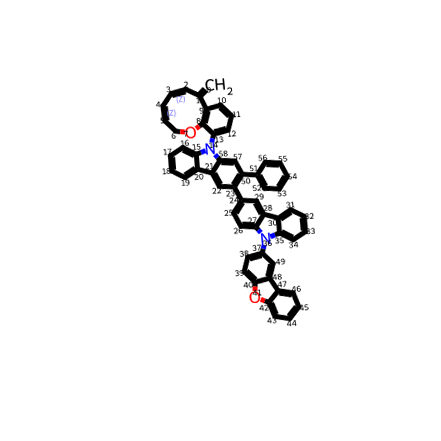 C=C1/C=C\C=C/COc2c1cccc2-n1c2ccccc2c2cc(-c3ccc4c(c3)c3ccccc3n4-c3ccc4oc5ccccc5c4c3)c(-c3ccccc3)cc21